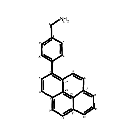 NCc1ccc(-c2ccc3ccc4cccc5ccc2c3c45)cc1